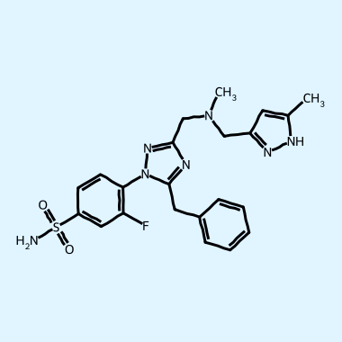 Cc1cc(CN(C)Cc2nc(Cc3ccccc3)n(-c3ccc(S(N)(=O)=O)cc3F)n2)n[nH]1